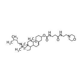 CC(C)CCC[C@@H](C)[C@H]1CCC2C3CC=C4CC(OC(=O)NCCC(=O)NCCN5CCOCC5)CC[C@]4(C)C3CC[C@@]21C